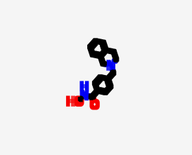 O=C(NO)c1ccc(CN2CCc3ccccc3C2)cc1